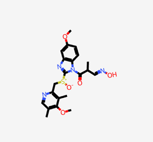 COc1ccc2c(c1)nc([S+]([O-])Cc1ncc(C)c(OC)c1C)n2C(=O)C(C)C=NO